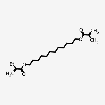 C=C(C)C(=O)OCCCCCCCCCCCCOC(=O)C(=C)CC